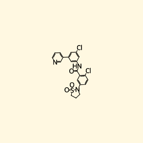 O=C(Nc1cc(Cl)cc(-c2cccnc2)c1)c1cc(N2CCCS2(=O)=O)ccc1Cl